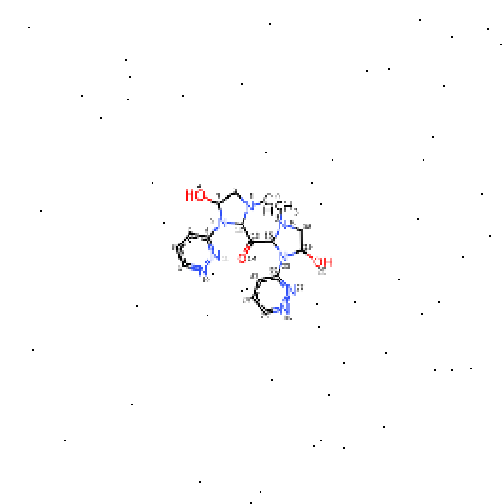 CN1CC(O)N(c2cccnn2)C1C(=O)C1N(C)CC(O)N1c1cccnn1